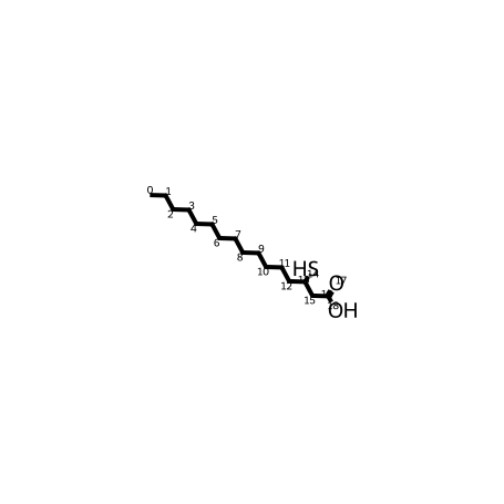 CCCCCCCCCCCCCC(S)CC(=O)O